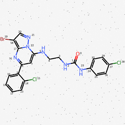 O=C(NCCNc1cc(-c2ccccc2Cl)nc2c(Br)cnn12)Nc1ccc(Cl)cc1